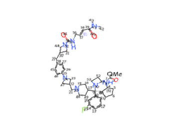 COC(=O)N[C@H]1CCC[C@@H]1C(c1cccc(F)c1)(C1CCN(CC2CN(c3ccc(CC4CN(C(=O)NC/C=C/C(=O)N(C)C)C4)cc3)C2)CC1)N1CCC1